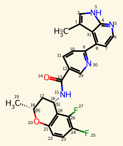 Cc1c[nH]c2nccc(-c3ccc(C(=O)N[C@H]4C[C@@H](C)Oc5ccc(F)c(F)c54)cn3)c12